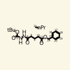 CC(C)(C)OC(=O)NNC(=O)CCCC(=O)OCc1ccccc1.CCCC